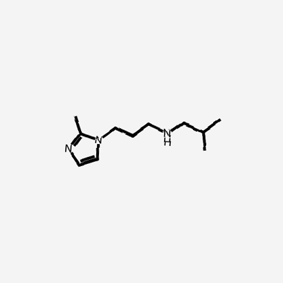 Cc1nccn1CCCNCC(C)C